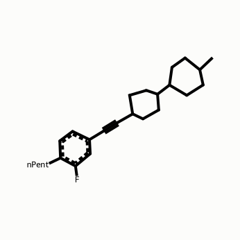 CCCCCc1ccc(C#CC2CCC(C3CCC(C)CC3)CC2)cc1F